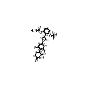 NC(=O)Oc1cccc(OC(F)(F)F)c1C1CN(c2cc(F)c(C3CCC(=O)NC3=O)c(F)c2)C1